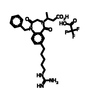 CC(CC(=O)O)N1CC(=O)N(Cc2ccccc2)c2ccc(CCCCCNC(=N)N)cc2C1=O.O=C(O)C(F)(F)F